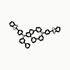 c1ccc(-c2cccc(N(c3ccc(-c4nc5ccccc5o4)cc3)c3cccc(-c4ccc5cc(N(c6ccc(-c7nc8ccccc8o7)cc6)c6cccc(-c7ccccc7)c6)ccc5c4)c3)c2)cc1